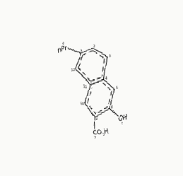 CCCc1ccc2cc(O)c(C(=O)O)cc2c1